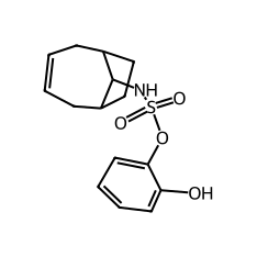 O=S(=O)(NC1C2CC=CCC1CC2)Oc1ccccc1O